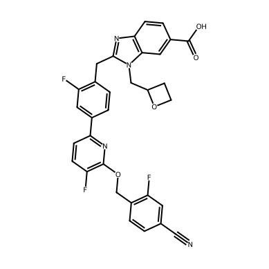 N#Cc1ccc(COc2nc(-c3ccc(Cc4nc5ccc(C(=O)O)cc5n4CC4CCO4)c(F)c3)ccc2F)c(F)c1